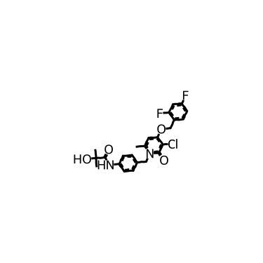 Cc1cc(OCc2ccc(F)cc2F)c(Cl)c(=O)n1Cc1ccc(NC(=O)C(C)(C)O)cc1